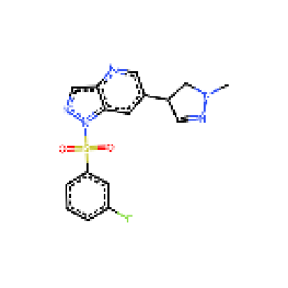 CN1CC(c2cnc3cnn(S(=O)(=O)c4cccc(F)c4)c3c2)C=N1